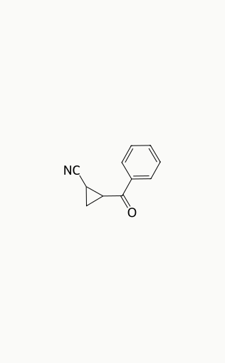 N#CC1CC1C(=O)c1ccccc1